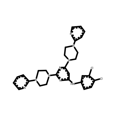 Clc1ccc(Nc2cc(N3CCN(c4ccccn4)CC3)nc(N3CCN(c4ccccn4)CC3)n2)cc1Cl